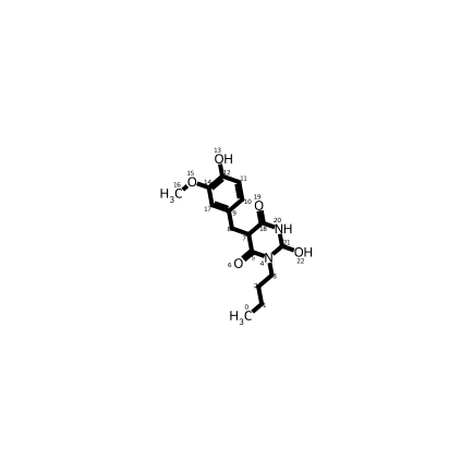 CCCCN1C(=O)C(Cc2ccc(O)c(OC)c2)C(=O)NC1O